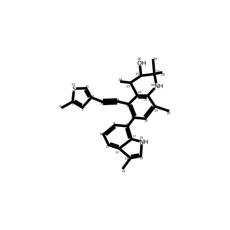 Cc1cc(C#Cc2c(-c3cccc4c(C)c[nH]c34)cc(C)c3c2C(C)C(O)C(C)(C)N3)cs1